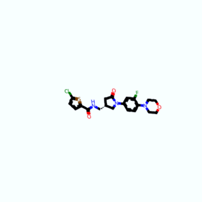 O=C(NC[C@@H]1CC(=O)N(c2ccc(N3CCOCC3)c(F)c2)C1)c1ccc(Cl)s1